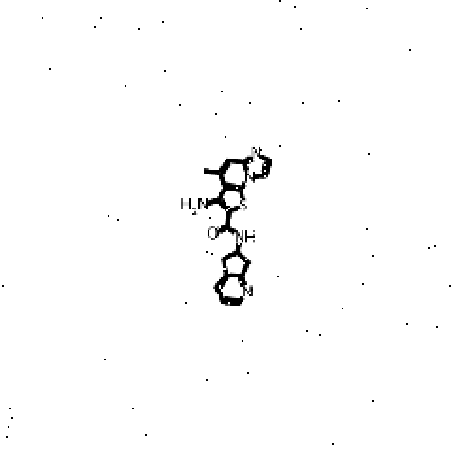 Cc1cc2nccn2c2sc(C(=O)NC3Cc4cccnc4C3)c(N)c12